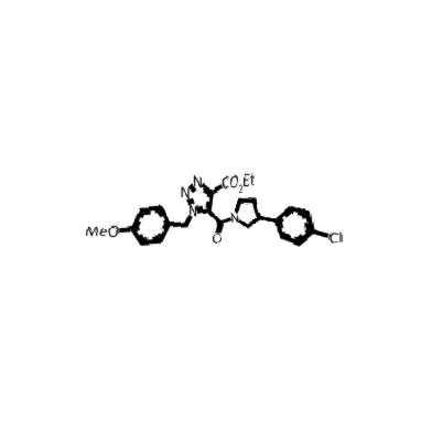 CCOC(=O)c1nnn(Cc2ccc(OC)cc2)c1C(=O)N1CCC(c2ccc(Cl)cc2)C1